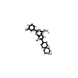 Cn1c(C2=CCC3(CCNCC3)CC2)cc2c(N)nc(-c3cccc(F)c3)nc21